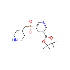 CC1(C)OB(c2cncc(S(=O)(=O)CC3CCNCC3)c2)OC1(C)C